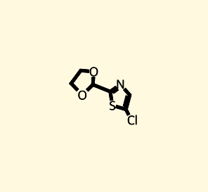 Clc1cnc(C2OCCO2)s1